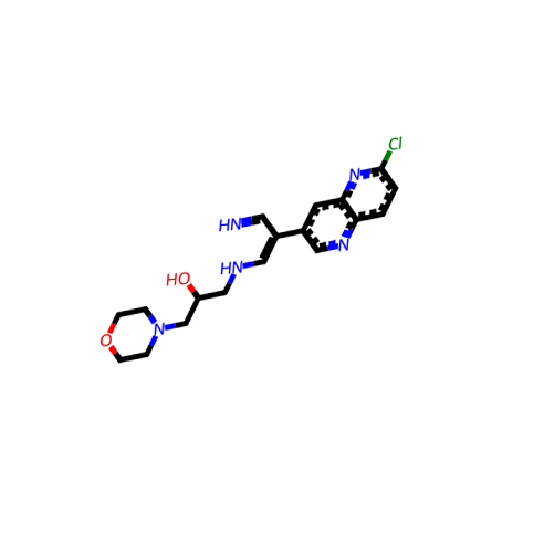 N=C/C(=C\NCC(O)CN1CCOCC1)c1cnc2ccc(Cl)nc2c1